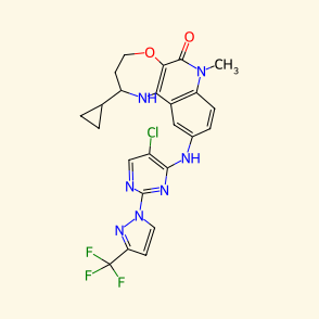 Cn1c(=O)c2c(c3cc(Nc4nc(-n5ccc(C(F)(F)F)n5)ncc4Cl)ccc31)NC(C1CC1)CCO2